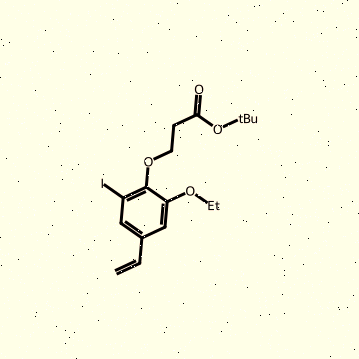 C=Cc1cc(I)c(OCCC(=O)OC(C)(C)C)c(OCC)c1